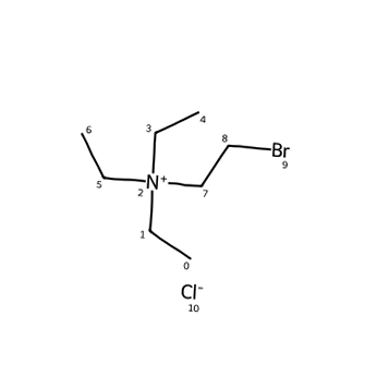 CC[N+](CC)(CC)CCBr.[Cl-]